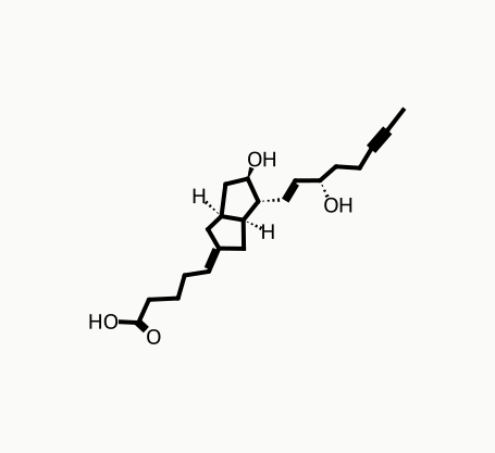 CC#CCC[C@H](O)/C=C/[C@@H]1[C@H]2C/C(=C/CCCC(=O)O)C[C@H]2C[C@H]1O